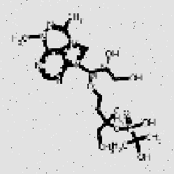 CCC(C)(CCO[C@H]([C@H](O)CO)n1c[n+]2c3c(ncnc31)N(C)N=C2C)OP(=O)(O)C(C)(C)O